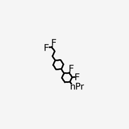 CCCC1CCC(C2CCC(CCC(F)F)CC2)C(F)C1F